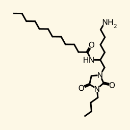 CCCCCCCCCCCC(=O)NC(CCCCN)CN1CC(=O)N(CCCC)C1=O